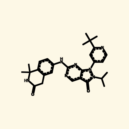 CC(C)n1c(=O)c2cnc(Nc3ccc4c(c3)CC(=O)NC4(C)C)nc2n1-c1ccnc(C(C)(C)C)c1